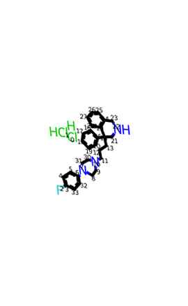 Cl.Cl.Fc1ccc(N2CCN(CCCC3(c4ccccc4)CNCc4ccccc43)CC2)cc1